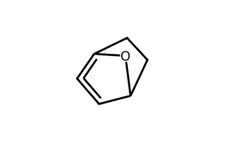 C1=CC2CCC=1O2